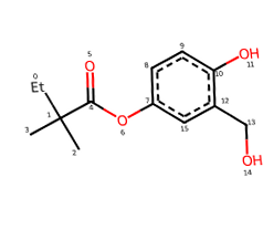 CCC(C)(C)C(=O)Oc1ccc(O)c(CO)c1